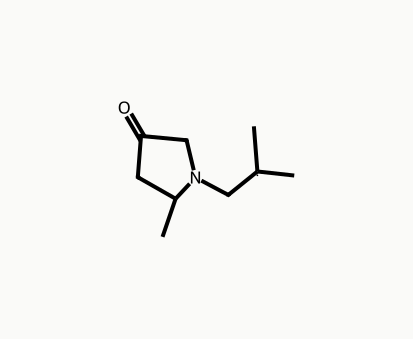 C[C](C)CN1CC(=O)CC1C